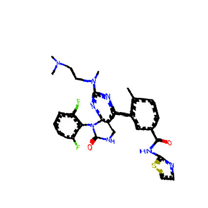 Cc1ccc(C(=O)Nc2nccs2)cc1-c1nc(N(C)CCN(C)C)nc2c1CNC(=O)N2c1c(F)cccc1F